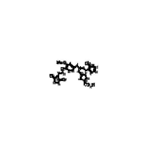 COc1cc(CN(CCc2ccccc2Cl)CC2CCC(C(=O)O)C2)ccc1OCCN1C(=O)CCC1=O